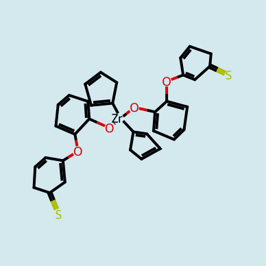 S=C1C=C(Oc2ccccc2[O][Zr]([O]c2ccccc2OC2=CC(=S)CC=C2)([C]2=CC=CC2)[C]2=CC=CC2)C=CC1